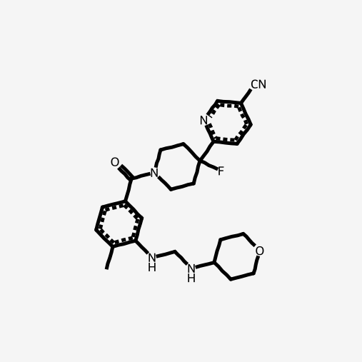 Cc1ccc(C(=O)N2CCC(F)(c3ccc(C#N)cn3)CC2)cc1NCNC1CCOCC1